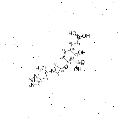 CC(Cc1cnc[nH]1)N1CC(OC2=C(C(=O)O)C(O)C(CCB(O)O)C=C2)C1